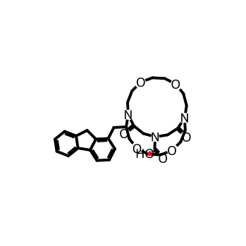 O=C(O)N1CC(=O)N2CCOCCOCCN(C(=O)C1)C(Cc1cccc3c1Cc1ccccc1-3)COCCOCC2